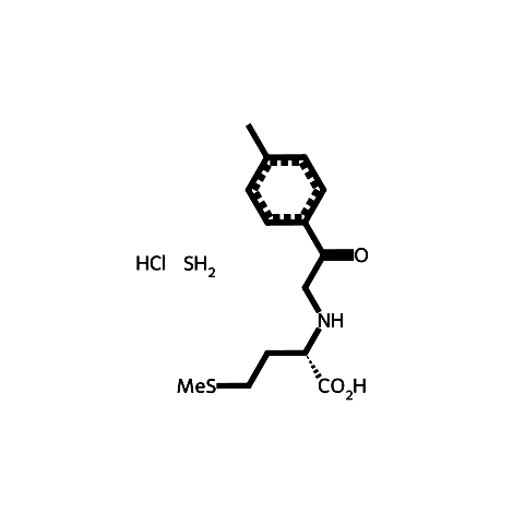 CSCC[C@H](NCC(=O)c1ccc(C)cc1)C(=O)O.Cl.S